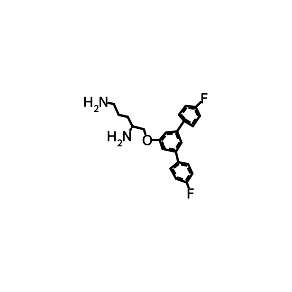 NCCC[C@H](N)COc1cc(-c2ccc(F)cc2)cc(-c2ccc(F)cc2)c1